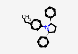 CCc1ccc(N2[C@@H](c3ccccc3)CC[C@@H]2c2ccccc2)cc1